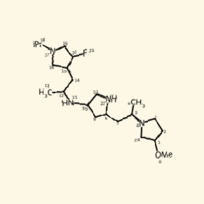 COC1CCN(C(C)CC2CC(NC(C)CC3CN(C(C)C)CC3F)CN2)C1